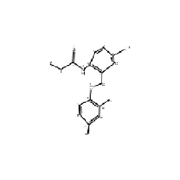 CCC(=O)Nc1ccc(I)cc1COc1ccc(C)cc1C